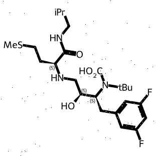 CSCC[C@H](NC[C@H](O)[C@H](Cc1cc(F)cc(F)c1)N(C(=O)O)C(C)(C)C)C(=O)NCC(C)C